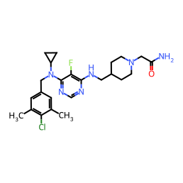 Cc1cc(CN(c2ncnc(NCC3CCN(CC(N)=O)CC3)c2F)C2CC2)cc(C)c1Cl